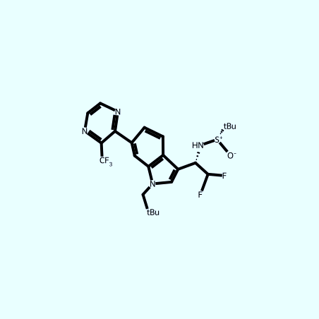 CC(C)(C)Cn1cc([C@H](N[S@@+]([O-])C(C)(C)C)C(F)F)c2ccc(-c3nccnc3C(F)(F)F)cc21